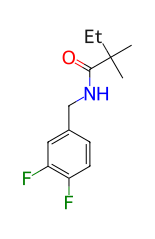 CCC(C)(C)C(=O)NCc1ccc(F)c(F)c1